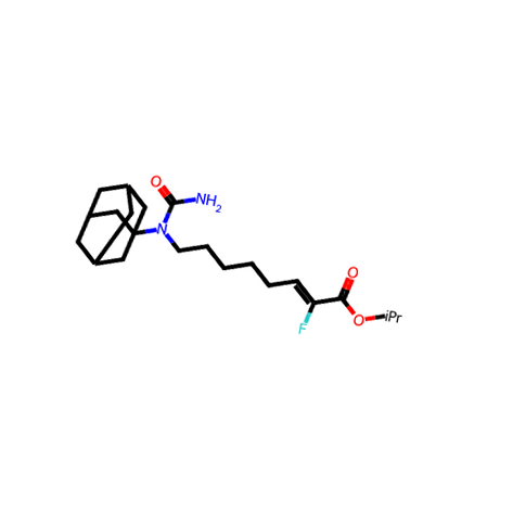 CC(C)OC(=O)/C(F)=C/CCCCCN(C(N)=O)C12CC3CC(CC(C3)C1)C2